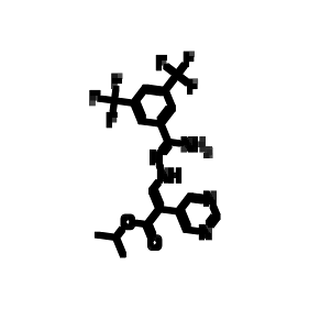 CC(C)OC(=O)/C(=C/N/N=C(\N)c1cc(C(F)(F)F)cc(C(F)(F)F)c1)c1cncnc1